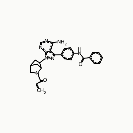 C=CC(=O)N1CC2CC1C(n1nc(-c3ccc(NC(=O)c4ccccc4)cc3)c3c(N)ncnc31)C2